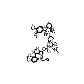 COc1ccc(C2=NN(C3CCN(C(=O)[C@@H](CN(C)C)NC(=O)Oc4c[nH]c5c(-c6c(OCC7CC7)ccc7c6OCO7)ncnc45)CC3)C(=O)[C@@H]3CCCC[C@H]23)cc1OC